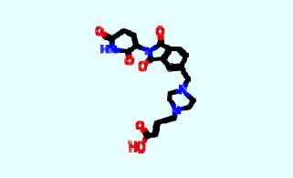 O=C(O)/C=C/CN1CCN(Cc2ccc3c(c2)C(=O)N(C2CCC(=O)NC2=O)C3=O)CC1